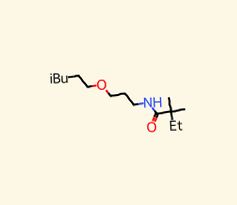 CCC(C)CCOCCCNC(=O)C(C)(C)CC